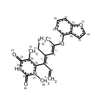 C=C/C(=C(\C=C(/C)Oc1nccc2occc12)CF)c1c(C)c(=O)[nH]c(=O)n1C